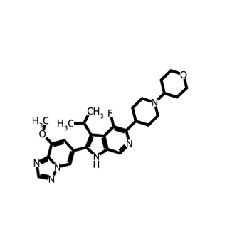 COc1cc(-c2[nH]c3cnc(C4CCN(C5CCOCC5)CC4)c(F)c3c2C(C)C)cn2ncnc12